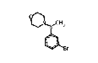 CN(c1cccc(Br)c1)N1CCOCC1